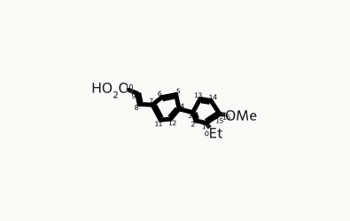 CCc1cc(-c2ccc(C=CC(=O)O)cc2)ccc1OC